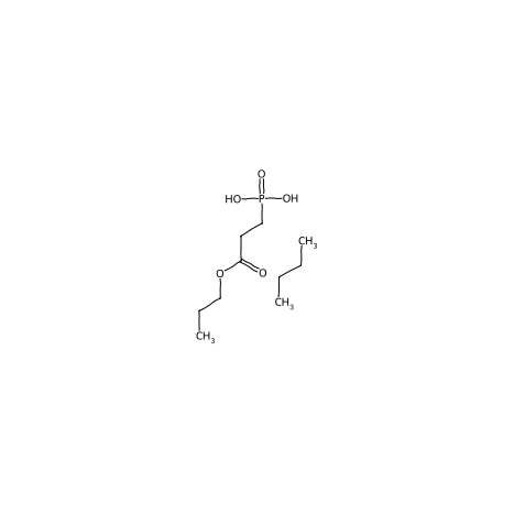 CCCC.CCCOC(=O)CCP(=O)(O)O